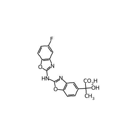 CC(O)(C(=O)O)c1ccc2oc(Nc3nc4cc(F)ccc4o3)nc2c1